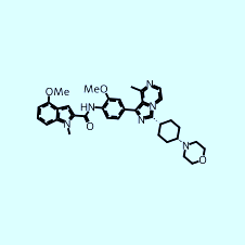 COc1cc(-c2nc([C@H]3CC[C@@H](N4CCOCC4)CC3)n3ccnc(C)c23)ccc1NC(=O)c1cc2c(OC)cccc2n1C